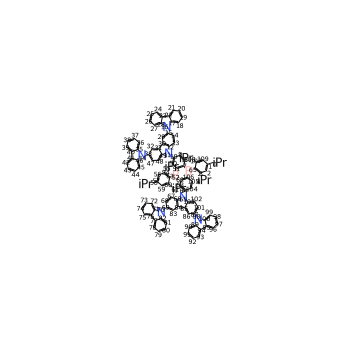 CC(C)c1cc(C(C)C)c(B2c3ccc(-n4c5ccc(-n6c7ccccc7c7ccccc76)cc5c5cc(-n6c7ccccc7c7ccccc76)ccc54)cc3B(c3c(C(C)C)cc(C(C)C)cc3C(C)C)c3cc(-n4c5ccc(-n6c7ccccc7c7ccccc76)cc5c5cc(-n6c7ccccc7c7ccccc76)ccc54)ccc32)c(C(C)C)c1